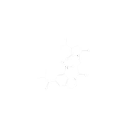 CC(C)C(=O)c1cc2c(c([N+](=O)[O-])c1)N(C(=O)CCN1C(=O)CC(C(C)C)C1=O)CC2